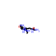 CCCNc1nc(Nc2ccc(C(N)=O)cc2)ncc1C#CCCCNC(=O)CN